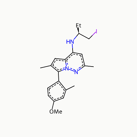 CC[C@@H](CI)Nc1cc(C)nn2c(-c3ccc(OC)cc3C)c(C)cc12